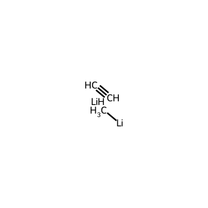 C#C.[LiH].[Li][CH3]